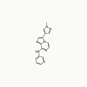 Cn1cc(-c2cnc3c(Nc4cccnc4)nccn23)cn1